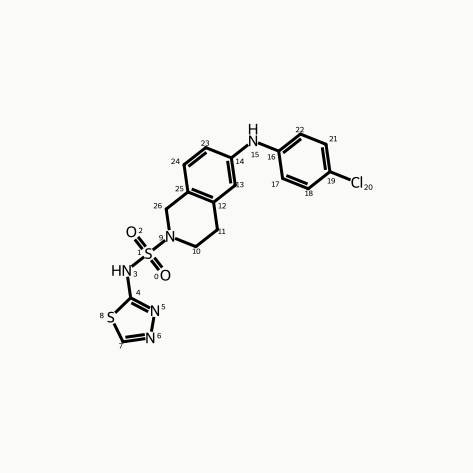 O=S(=O)(Nc1nncs1)N1CCc2cc(Nc3ccc(Cl)cc3)ccc2C1